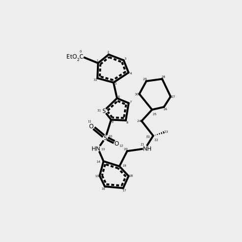 CCOC(=O)c1cccc(-c2ccc(S(=O)(=O)Nc3ccccc3CN[C@@H](C)CC3CCCCC3)s2)c1